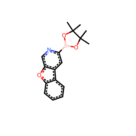 CC1(C)OB(c2cc3c(cn2)oc2ccccc23)OC1(C)C